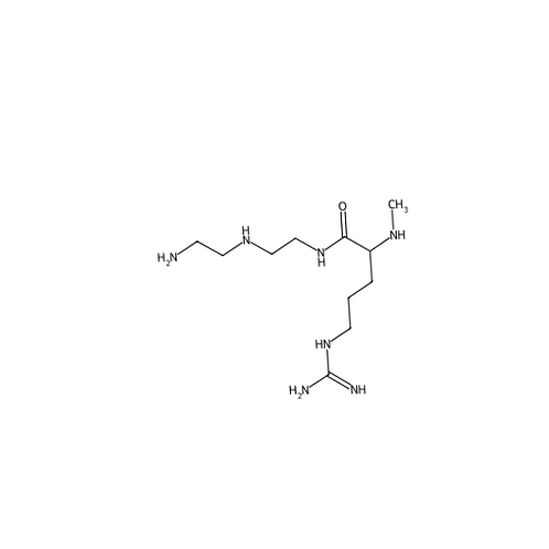 CNC(CCCNC(=N)N)C(=O)NCCNCCN